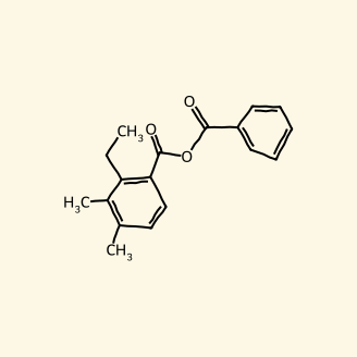 CCc1c(C(=O)OC(=O)c2ccccc2)ccc(C)c1C